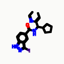 C/C=N\C(=C/C)C(NC(=O)c1ccc2[nH]nc(I)c2c1)C1CCCC1